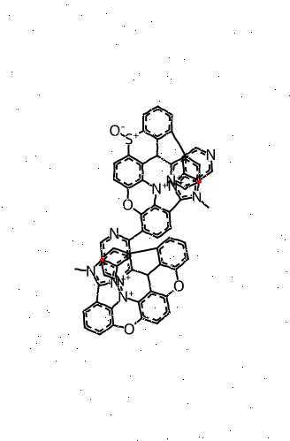 Cn1c2[n+](c3cc(-c4ccc5c6c4Oc4ccc7c8c4[N+]6([n+]4cccc6c4C8c4c-6cccc4[S+]7[O-])[n+]4c-5n(C)c5cnccc54)ncc31)[N+]13c4c(cccc4-2)Oc2ccc4c(c21)C1c2c(cccc2-c2ccc[n+]3c21)O4